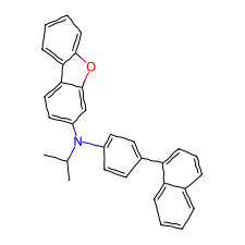 CC(C)N(c1ccc(-c2cccc3ccccc23)cc1)c1ccc2c(c1)oc1ccccc12